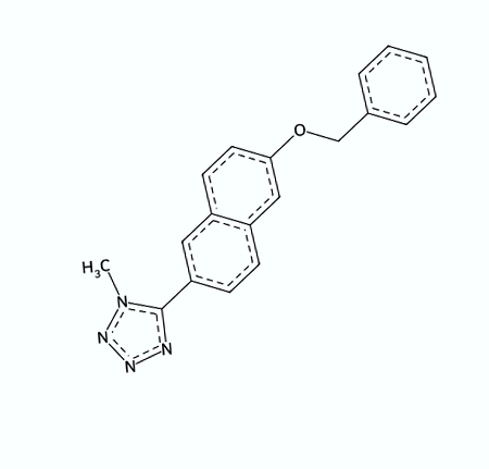 Cn1nnnc1-c1ccc2cc(OCc3ccccc3)ccc2c1